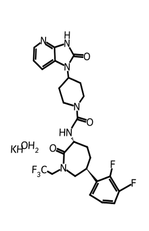 O.O=C(N[C@@H]1CC[C@@H](c2cccc(F)c2F)CN(CC(F)(F)F)C1=O)N1CCC(n2c(=O)[nH]c3ncccc32)CC1.[KH]